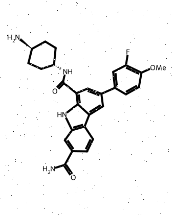 COc1ccc(-c2cc(C(=O)N[C@H]3CC[C@H](N)CC3)c3[nH]c4cc(C(N)=O)ccc4c3c2)cc1F